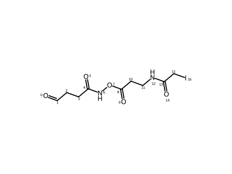 O=CCCC(=O)NOC(=O)CCNC(=O)CI